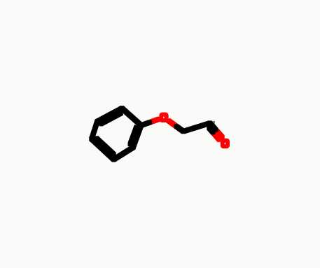 O=[C]COc1ccccc1